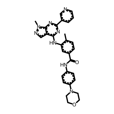 Cc1ccc(C(=O)Nc2ccc(N3CCOCC3)cc2)cc1Nc1nc(-c2cccnc2)nc2c1cnn2C